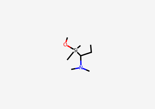 CCC(N(C)C)[Si](C)(C)OC